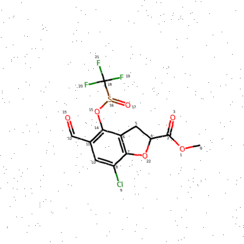 COC(=O)C1Cc2c(c(Cl)cc(C=O)c2OS(=O)C(F)(F)F)O1